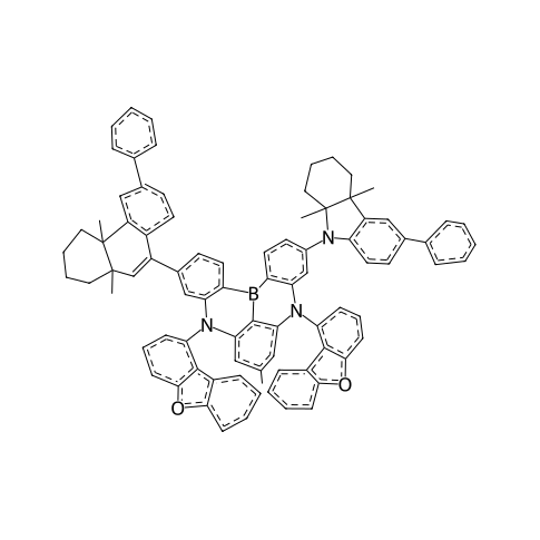 Cc1cc2c3c(c1)N(c1cccc4oc5ccccc5c14)c1cc(N4c5ccc(-c6ccccc6)cc5C5(C)CCCCC45C)ccc1B3c1ccc(C3=CC4(C)CCCCC4(C)c4cc(-c5ccccc5)ccc43)cc1N2c1cccc2oc3ccccc3c12